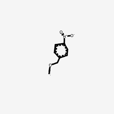 [C]OCc1ccc([N+](=O)[O-])cc1